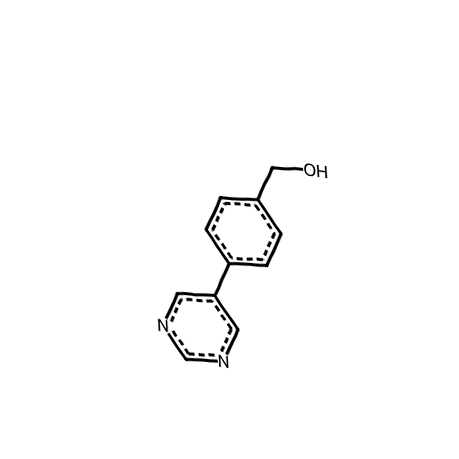 OCc1ccc(-c2cncnc2)cc1